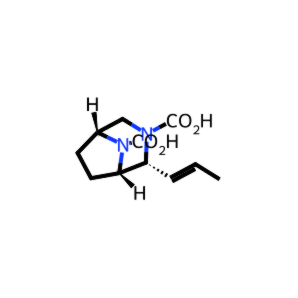 C/C=C/[C@@H]1[C@@H]2CC[C@H](CN1C(=O)O)N2C(=O)O